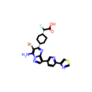 Nc1c(Br)c([C@H]2CC[C@@H](C(F)C(=O)O)CC2)nc2c(-c3ccc(-c4cscn4)nc3)cnn12